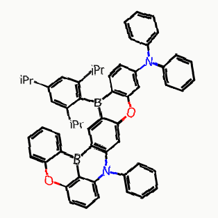 CC(C)c1cc(C(C)C)c(B2c3ccc(N(c4ccccc4)c4ccccc4)cc3Oc3cc4c(cc32)B2c3ccccc3Oc3cccc(c32)N4c2ccccc2)c(C(C)C)c1